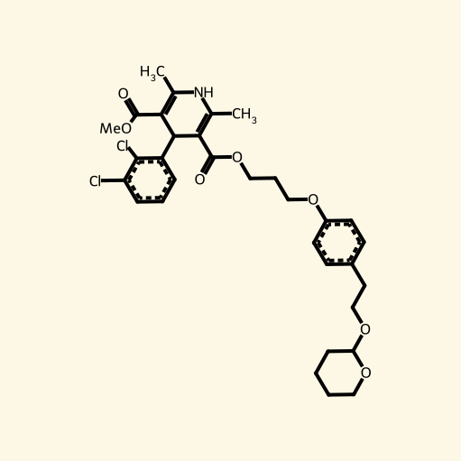 COC(=O)C1=C(C)NC(C)=C(C(=O)OCCCOc2ccc(CCOC3CCCCO3)cc2)C1c1cccc(Cl)c1Cl